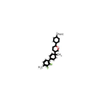 CCCCCC1CCC(C2CCC(C3(C)C=CC(c4ccc(C)c(F)c4F)=CC3)CO2)CC1